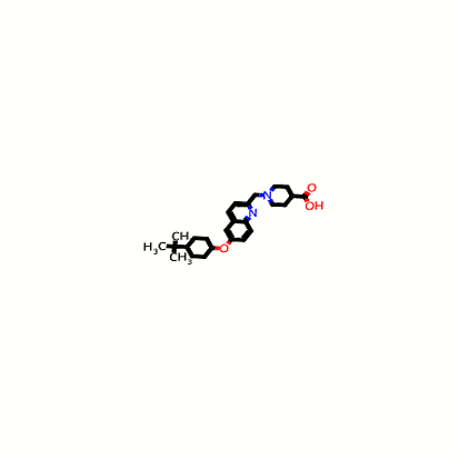 CC(C)(C)C1CCC(Oc2ccc3nc(CN4CCC(C(=O)O)CC4)ccc3c2)CC1